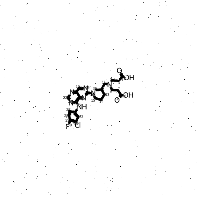 O=C(O)CCN(CCC(=O)O)CC1CCCN(c2ncc3ncnc(Nc4ccc(F)c(Cl)c4)c3n2)C1